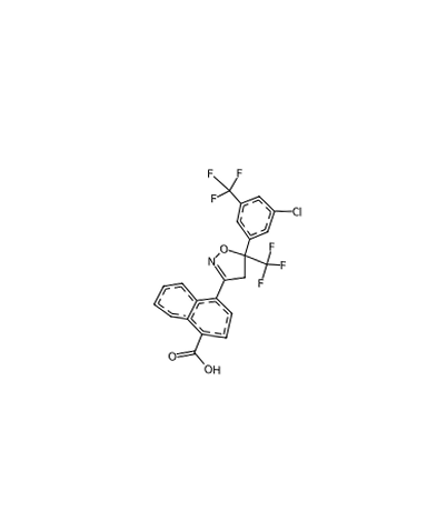 O=C(O)c1ccc(C2=NOC(c3cc(Cl)cc(C(F)(F)F)c3)(C(F)(F)F)C2)c2ccccc12